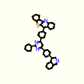 c1ccc(-c2nc(-c3ccc(-c4cncc5ccccc45)cc3)cc(-c3ccc(-c4c5ccccc5nc5c4sc4ccccc45)cc3)n2)cc1